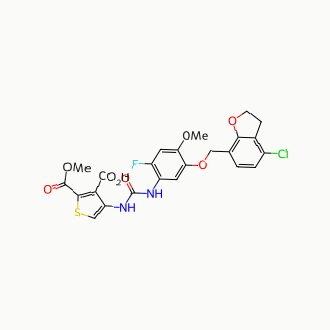 COC(=O)c1scc(NC(=O)Nc2cc(OCc3ccc(Cl)c4c3OCC4)c(OC)cc2F)c1C(=O)O